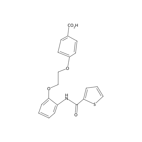 O=C(O)c1ccc(OCCOc2ccccc2NC(=O)c2cccs2)cc1